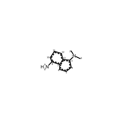 CN(C)c1cccc2c(N)cccc12